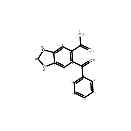 O=C(O)c1cc2c(cc1C(=O)c1ccccc1)OCO2